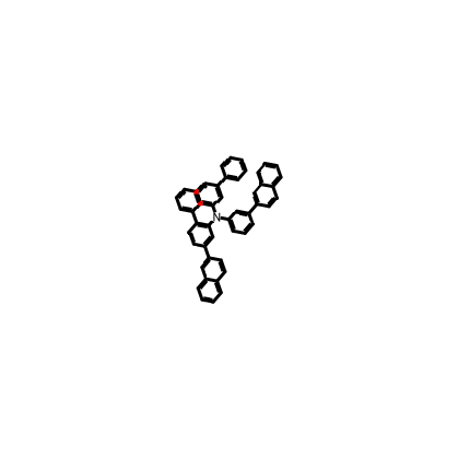 c1ccc(-c2cccc(N(c3cccc(-c4ccc5ccccc5c4)c3)c3cc(-c4ccc5ccccc5c4)ccc3-c3ccccc3)c2)cc1